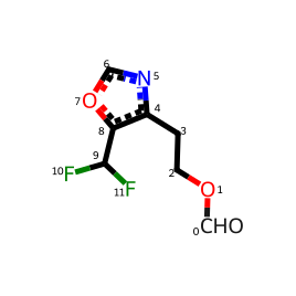 O=COCCc1ncoc1C(F)F